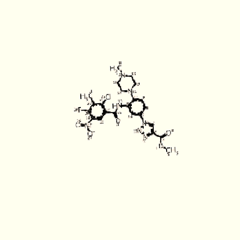 COC(=O)c1cn(-c2ccc(N3CCN(C)CC3)c(NC(=O)c3cc([N+](=O)[O-])c(F)c(C)c3Cl)c2)nn1